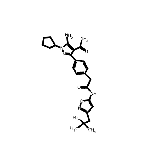 CC(C)(C)Cc1cc(NC(=O)Cc2ccc(-c3nn(C4CCCC4)c(N)c3C(N)=O)cc2)on1